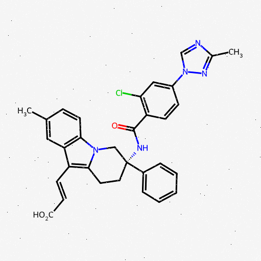 Cc1ccc2c(c1)c(/C=C/C(=O)O)c1n2C[C@@](NC(=O)c2ccc(-n3cnc(C)n3)cc2Cl)(c2ccccc2)CC1